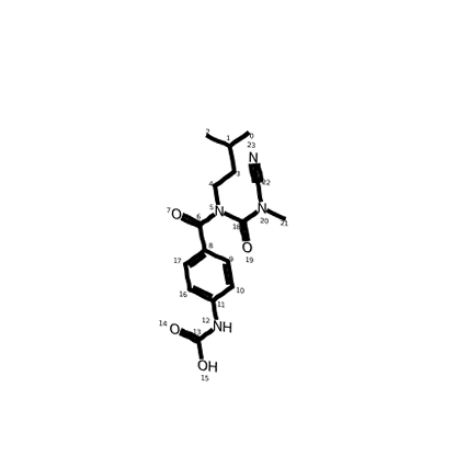 CC(C)CCN(C(=O)c1ccc(NC(=O)O)cc1)C(=O)N(C)C#N